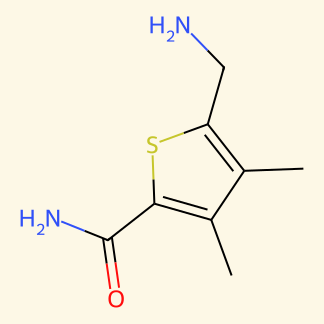 Cc1c(CN)sc(C(N)=O)c1C